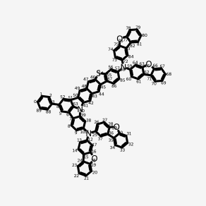 c1ccc(-c2cc3c4ccc(N(c5ccc6c(c5)oc5ccccc56)c5ccc6oc7ccccc7c6c5)cc4n4c5cc6cc7c(cc6cc5c(c2)c34)sc2cc(N(c3ccc4c(c3)oc3ccccc34)c3ccc4oc5ccccc5c4c3)ccc27)cc1